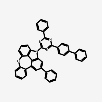 c1ccc(-c2ccc(-c3nc(-c4ccccc4)nc(-n4c5cccc6oc7ccccc7c7cc(-c8ccccc8)cc4c7c65)n3)cc2)cc1